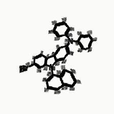 Brc1ccc2c3cc(N(c4ccccc4)c4ccccc4)ccc3n(-c3cccc4ccccc34)c2c1